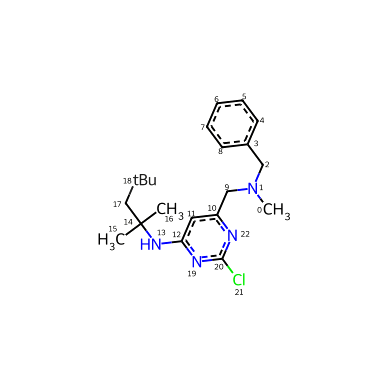 CN(Cc1ccccc1)Cc1cc(NC(C)(C)CC(C)(C)C)nc(Cl)n1